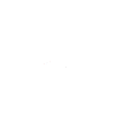 CCCCCCCCCCCCCCCCCCOC(=O)/C=C/C(=O)O.[CaH2]